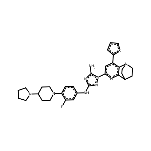 Nc1nc(Nc2ccc(N3CCC(N4CCCC4)CC3)c(F)c2)nn1-c1cc(-c2cccs2)c2c(n1)C1CCN2CC1